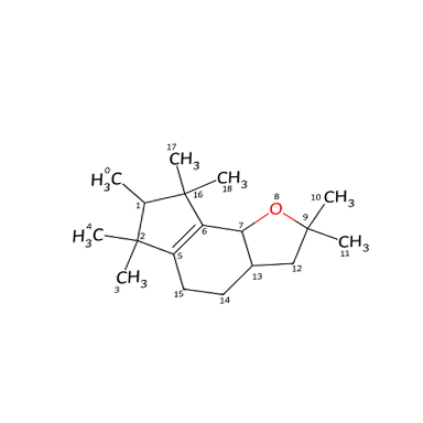 CC1C(C)(C)C2=C(C3OC(C)(C)CC3CC2)C1(C)C